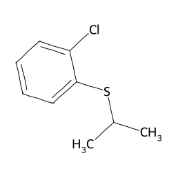 CC(C)Sc1ccccc1Cl